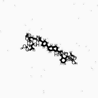 COC(=O)N[C@H](C(=O)N1CC2(CC1c1ncc(-c3ccc(-c4ccc5cc(-c6cnc(C7CCCCC7C(=O)N(NC(=O)OC)C(C)C)[nH]6)ccc5c4)cc3)[nH]1)OCCO2)C(C)C